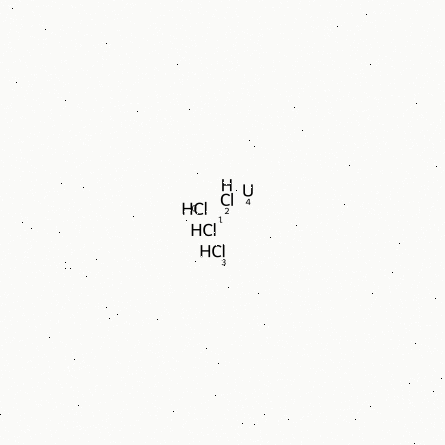 Cl.Cl.Cl.Cl.[U]